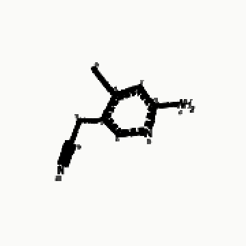 Cc1cc(N)ncc1CC#N